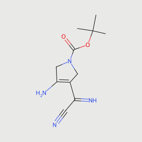 CC(C)(C)OC(=O)N1CC(N)=C(C(=N)C#N)C1